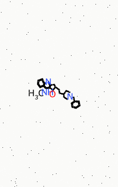 CNc1c2c(nc3ccccc13)CC(CCC1CCN(Cc3ccccc3)CC1)C2=O